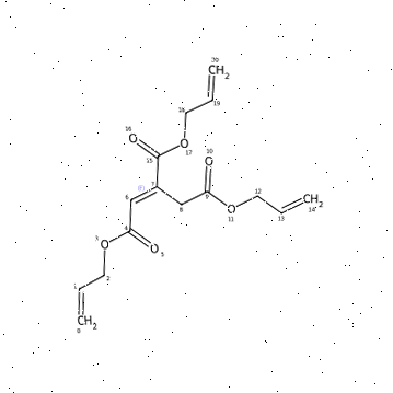 C=CCOC(=O)/C=C(\CC(=O)OCC=C)C(=O)OCC=C